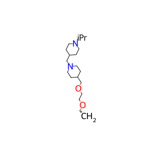 C=COCCOCC1CCN(CC2CCN(C(C)C)CC2)CC1